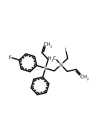 C=CC[Si](C)(CI)C[Si](CC=C)(c1ccccc1)c1ccc(F)cc1